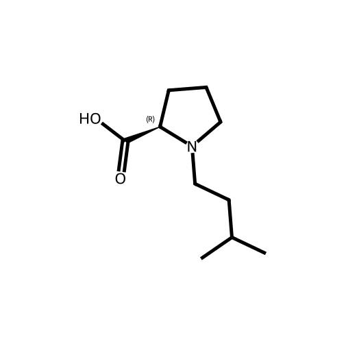 CC(C)CCN1CCC[C@@H]1C(=O)O